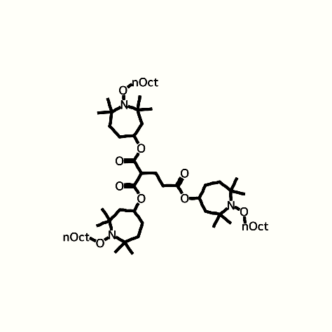 CCCCCCCCON1C(C)(C)CCC(OC(=O)CCC(C(=O)OC2CCC(C)(C)N(OCCCCCCCC)C(C)(C)C2)C(=O)OC2CCC(C)(C)N(OCCCCCCCC)C(C)(C)C2)CC1(C)C